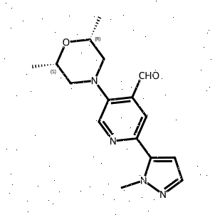 C[C@@H]1CN(c2cnc(-c3ccnn3C)cc2C=O)C[C@H](C)O1